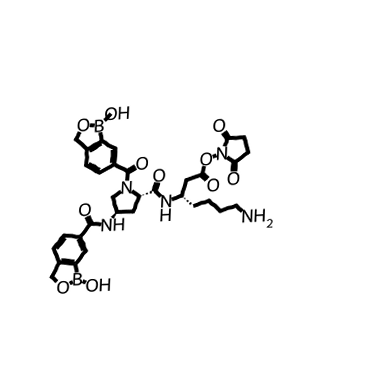 NCCCC[C@@H](CC(=O)ON1C(=O)CCC1=O)NC(=O)[C@@H]1C[C@@H](NC(=O)c2ccc3c(c2)B(O)OC3)CN1C(=O)c1ccc2c(c1)B(O)OC2